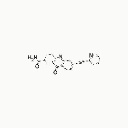 NC(=O)C1CCc2nc3cc(C#Cc4ccccn4)ccc3c(=O)n2C1